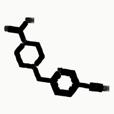 C#Cc1ccc(CN2CCN(C(=O)O)CC2)nc1